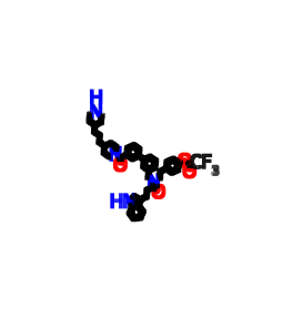 O=C(CCc1c[nH]c2ccccc12)N(CCc1ccc(OC(=O)C(F)(F)F)cc1)Cc1cccc(-c2cccc(C(=O)N3CCC(CCCC4CCNCC4)CC3)c2)c1